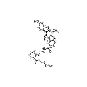 COCCOC(=O)c1ccccc1OCCNC(=O)c1ccc2nc(C(C)c3nc4cc(O)ccc4[nH]3)n(C)c2c1